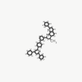 CC1CC(c2cccc(-c3ccc(-c4cc(-c5ccccc5)cc(-c5ccccc5)n4)cc3)c2)=Nc2c1ccc1ccc(-c3ccccc3)nc21